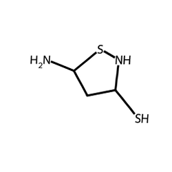 NC1CC(S)NS1